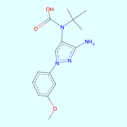 COc1cccc(-n2cc(N(C(=O)O)C(C)(C)C)c(N)n2)c1